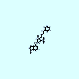 O=C(N(F)F)C(F)(CCCCc1ccccc1)CCOc1cccc2[nH]ccc12